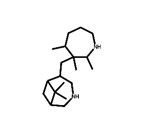 CC1CCCNC(C)C1(C)CC1CNCC2CC1C2(C)C